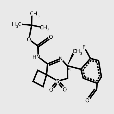 CC(C)(C)OC(=O)NC1=N[C@](C)(c2cc(C=O)ccc2F)CS(=O)(=O)C12CCC2